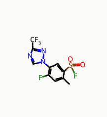 Cc1cc(F)c(-n2cnc(C(F)(F)F)n2)cc1S(=O)(=O)F